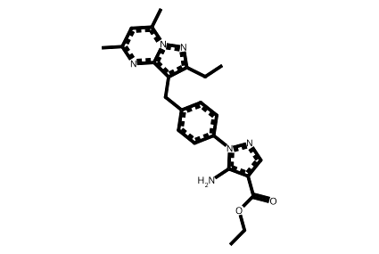 CCOC(=O)c1cnn(-c2ccc(Cc3c(CC)nn4c(C)cc(C)nc34)cc2)c1N